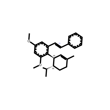 COc1cc(/C=C/c2ccccc2)c([C@H]2C=C(C)CC[C@@H]2C(C)C)c(OC)c1